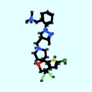 CC1=NN(c2ccccc2CN(C)C)CC1CN1CCC2(CC1)OCC(F)(F)c1cc(Cl)sc12